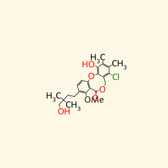 COc1c(CCC(C)(C)CO)ccc2c1C(=O)OCc1c(Cl)c(C)c(C)c(O)c1O2